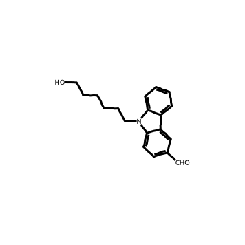 O=Cc1ccc2c(c1)c1ccccc1n2CCCCCCO